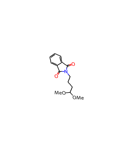 COC(CCCN1C(=O)c2ccccc2C1=O)OC